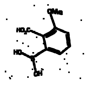 COc1cccc(B(O)O)c1C(=O)O